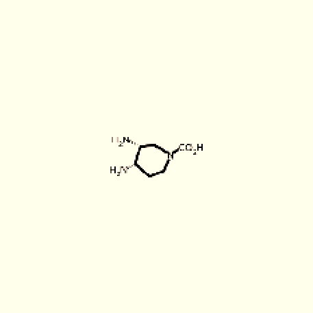 N[C@@H]1CN(C(=O)O)CC[C@@H]1N